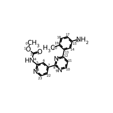 COC(=O)Nc1cc(-c2nccc(-c3cc(N)ccc3C)n2)ccn1